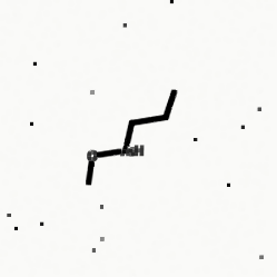 CCC[AsH]OC